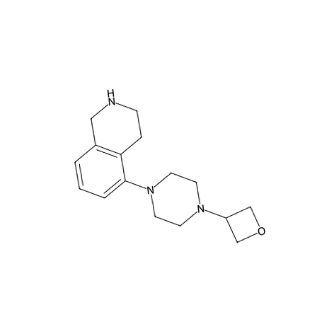 c1cc2c(c(N3CCN(C4COC4)CC3)c1)CCNC2